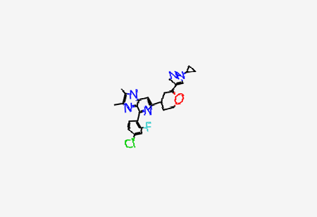 Cc1nc2cc(C3CCOC(c4cnn(C5CC5)c4)C3)nc(-c3ccc(Cl)cc3F)c2nc1C